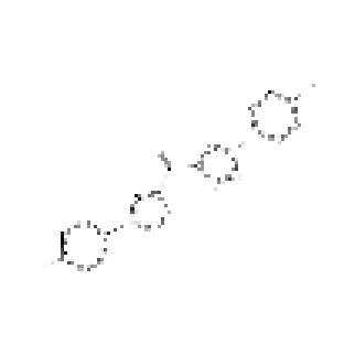 CC(C)c1ccc(-n2cc(C(=O)c3cn(-c4ccc(C(C)C)cc4)nn3)nn2)cc1